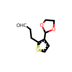 O=CCCc1sccc1C1OCCO1